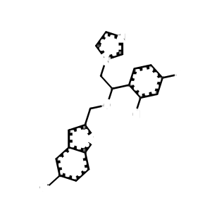 Clc1ccc(C(Cn2ccnc2)OCc2cc3cc(Cl)ccc3s2)c(Cl)c1